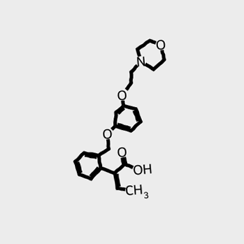 CC=C(C(=O)O)c1ccccc1COc1cccc(OCCN2CCOCC2)c1